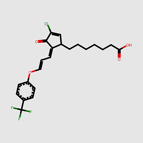 O=C(O)CCCCCCC1C=C(Cl)C(=O)C1=CC=COc1ccc(C(F)(F)F)cc1